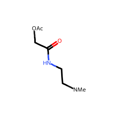 CNCCNC(=O)COC(C)=O